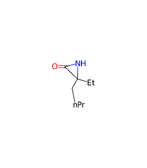 CCCCC1(CC)NC1=O